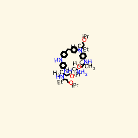 CCC(CCOC(C)C)NC(C)(CCOC(C)C)Nc1ccc(Nc2ccc(Cc3ccc(N(c4ccc(NC(C)(C)COC(C)N)cc4)C(C)(CC)CCOC(C)C)cc3)cc2)cc1